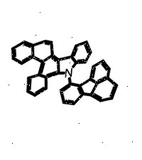 c1cc2c(c(-n3c4ccccc4c4c5ccc6ccccc6c5c5ccccc5c43)c1)-c1cccc3cccc-2c13